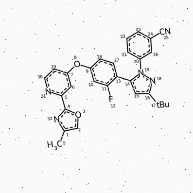 Cc1coc(-c2cc(Oc3[c]c(F)c(-c4cc(C(C)(C)C)nn4-c4cccc(C#N)c4)cc3)ccn2)n1